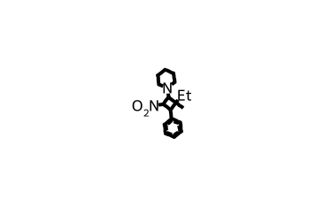 CCC1(C)C(c2ccccc2)C([N+](=O)[O-])C1N1CCCCC1